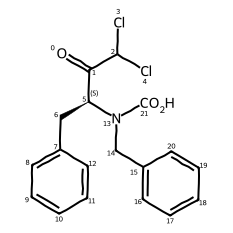 O=C(C(Cl)Cl)[C@H](Cc1ccccc1)N(Cc1ccccc1)C(=O)O